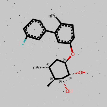 CCCc1ccc(O[C@@H]2C[C@@H](CCC)[C@H](C)[C@@H](O)[C@H]2O)cc1-c1cccc(F)c1